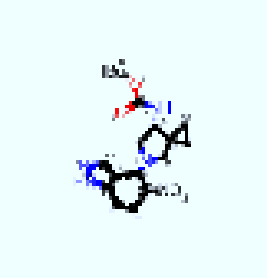 CC(C)(C)OC(=O)N[C@H]1CN(c2c([N+](=O)[O-])ccc3[nH]ncc23)CC12CC2